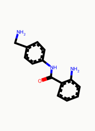 NCc1ccc(NC(=O)c2ccccc2N)cc1